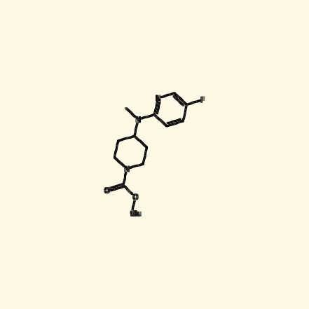 CN(c1ccc(F)cn1)C1CCN(C(=O)OC(C)(C)C)CC1